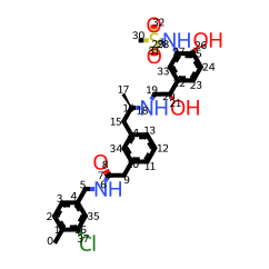 Cc1ccc(CNC(=O)Cc2cccc(C[C@@H](C)NC[C@H](O)c3ccc(O)c(NS(C)(=O)=O)c3)c2)cc1Cl